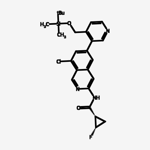 CC(C)(C)[Si](C)(C)OCc1ccncc1-c1cc(Cl)c2cnc(NC(=O)[C@@H]3C[C@@H]3F)cc2c1